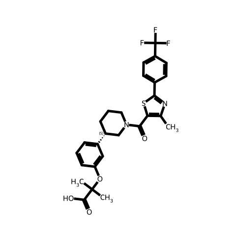 Cc1nc(-c2ccc(C(F)(F)F)cc2)sc1C(=O)N1CCC[C@@H](c2cccc(OC(C)(C)C(=O)O)c2)C1